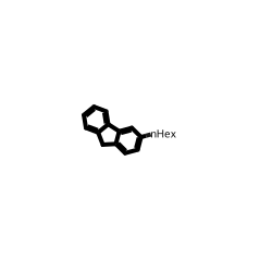 CCCCCCc1ccc2c(c1)-c1ccccc1C2